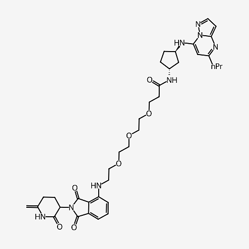 C=C1CCC(N2C(=O)c3cccc(NCCOCCOCCOCCC(=O)N[C@@H]4CC[C@@H](Nc5cc(CCC)nc6ccnn56)C4)c3C2=O)C(=O)N1